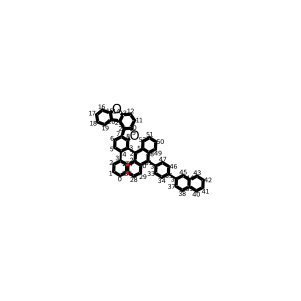 c1ccc(-c2ccc3c(oc4ccc5oc6ccccc6c5c43)c2-c2c3ccccc3c(-c3ccc(-c4ccc5ccccc5c4)cc3)c3ccccc23)cc1